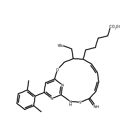 CCOC(=O)CCCCC1/C=C\C=C/C(=N)SNc2nc(cc(-c3c(C)cccc3C)n2)OCC1CC(C)(C)C